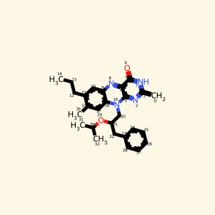 C=c1nc2c(c(=O)[nH]1)=Nc1cc(CCC)c(C)cc1N2CC(Cc1ccccc1)OC(C)C